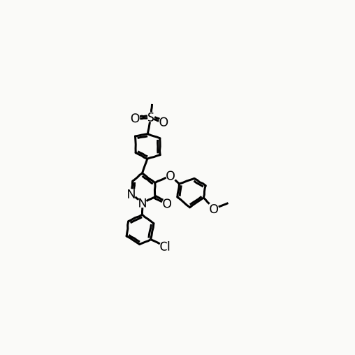 COc1ccc(Oc2c(-c3ccc(S(C)(=O)=O)cc3)cnn(-c3cccc(Cl)c3)c2=O)cc1